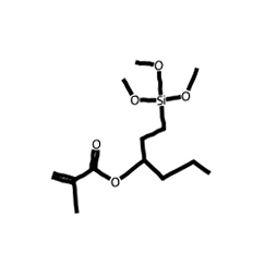 C=C(C)C(=O)OC(CCC)CC[Si](OC)(OC)OC